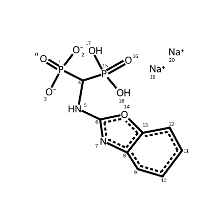 O=P([O-])([O-])C(Nc1nc2ccccc2o1)P(=O)(O)O.[Na+].[Na+]